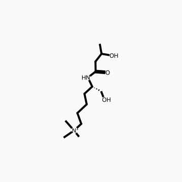 CC(O)CC(=O)N[C@H](CO)CCCC[N+](C)(C)C